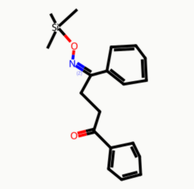 C[Si](C)(C)O/N=C(/CCC(=O)c1ccccc1)c1ccccc1